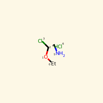 CCOCCl.CN.Cl